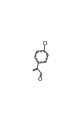 C=C(C=O)c1ccc(Cl)cc1